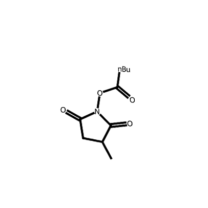 CCCCC(=O)ON1C(=O)CC(C)C1=O